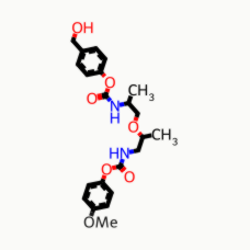 COc1ccc(OC(=O)NCC(C)OCC(C)NC(=O)Oc2ccc(CO)cc2)cc1